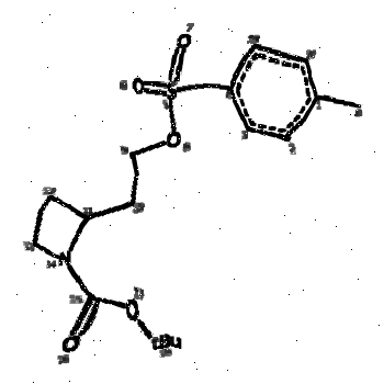 Cc1ccc(S(=O)(=O)OCCC2CCN2C(=O)OC(C)(C)C)cc1